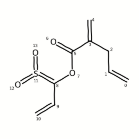 C=CCC(=C)C(=O)OC(C=C)=S(=O)=O